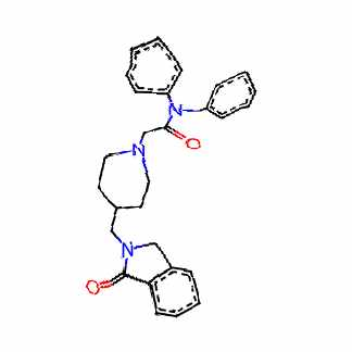 O=C1c2ccccc2CN1CC1CCN(CC(=O)N(c2ccccc2)c2ccccc2)CC1